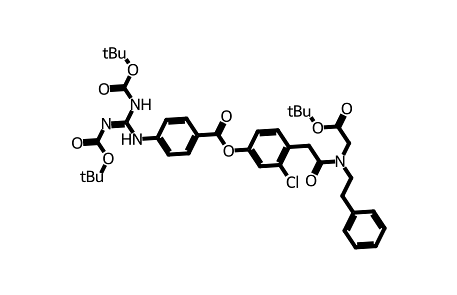 CC(C)(C)OC(=O)CN(CCc1ccccc1)C(=O)Cc1ccc(OC(=O)c2ccc(NC(=NC(=O)OC(C)(C)C)NC(=O)OC(C)(C)C)cc2)cc1Cl